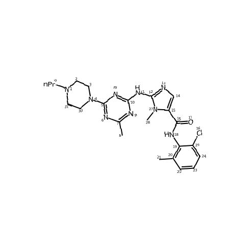 CCCN1CCN(c2nc(C)nc(Nc3ncc(C(=O)Nc4c(C)cccc4Cl)n3C)n2)CC1